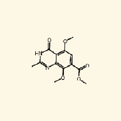 COC(=O)c1cc(OC)c2c(=O)[nH]c(C)nc2c1OC